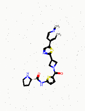 C=N/C=C\C(=C/C)c1cnc(C2CN(C(=O)c3ccc(NC(=O)[C@@H]4CCCN4)s3)C2)s1